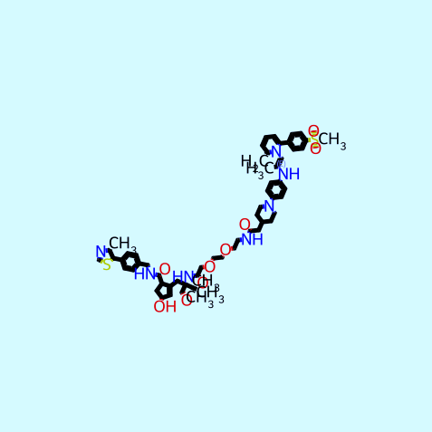 C=C1C=CC=C(c2ccc(S(C)(=O)=O)cc2)N1/C=C(\C)Nc1ccc(N2CCC(CC(=O)NCCOCCOCC(=O)NC(C=O)(CC3=CC(O)CC3C(=O)NCc3ccc(C4SC=NC4C)cc3)C(C)(C)C)CC2)cc1